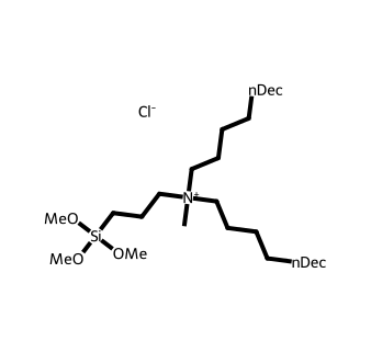 CCCCCCCCCCCCCC[N+](C)(CCCCCCCCCCCCCC)CCC[Si](OC)(OC)OC.[Cl-]